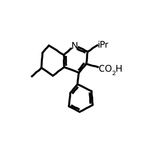 CC1CCc2nc(C(C)C)c(C(=O)O)c(-c3ccccc3)c2C1